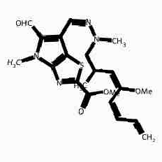 C=C/C=C\C(=C/C(C)CN(C)/N=C\c1c(C=O)n(C)c2nc(C(=O)OC)sc12)OC